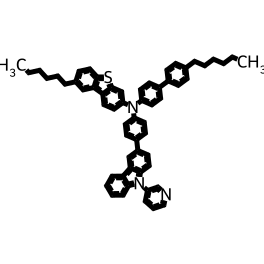 CCCCCCc1ccc(-c2ccc(N(c3ccc(-c4ccc5c(c4)c4ccccc4n5-c4cccnc4)cc3)c3ccc4c(c3)sc3ccc(CCCCCC)cc34)cc2)cc1